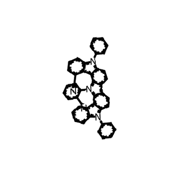 N#Cc1ccccc1-n1c2c(ccc3c2c2ccccc2n3-c2ccccc2)c2ccc3c(c4c(C#N)cccc4n3-c3ccccc3)c21